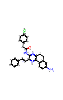 Nc1ccc2c(c1)CCc1nc(NC(=O)Cc3ccc(Cl)cc3)c(/C=C/c3ccccc3)nc1-2